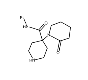 CCNC(=O)C1(N2CCCCC2=O)CCNCC1